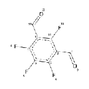 O=Cc1c(F)c(F)c(F)c(C=O)c1F